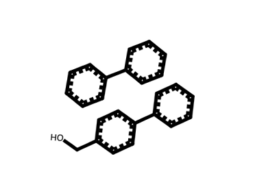 OCc1ccc(-c2ccccc2)cc1.c1ccc(-c2ccccc2)cc1